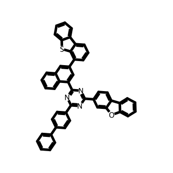 c1ccc(-c2ccc(-c3nc(-c4ccc5c(c4)oc4ccccc45)nc(-c4cc(-c5cccc6c5sc5ccccc56)cc5ccccc45)n3)cc2)cc1